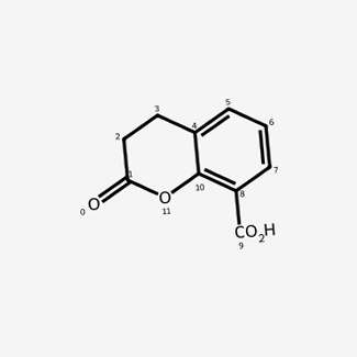 O=C1CCc2cccc(C(=O)O)c2O1